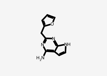 Nc1nc(Cc2ccco2)nc2[nH]ccc12